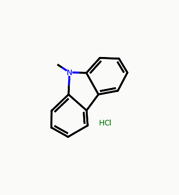 Cl.Cn1c2ccccc2c2ccccc21